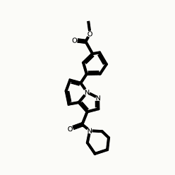 COC(=O)c1cccc(-c2cccc3c(C(=O)N4CCCCC4)cnn23)c1